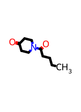 CCCCC(=O)N1CCC(=O)CC1